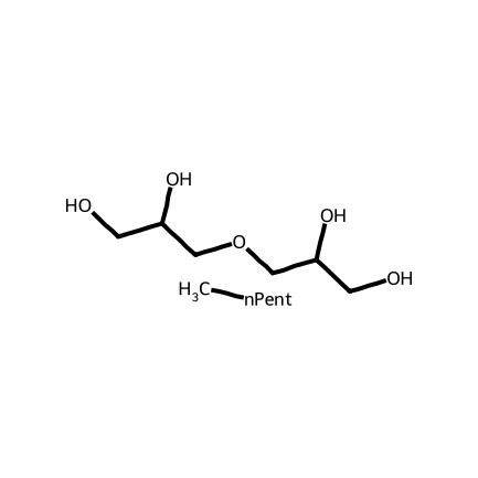 CCCCCC.OCC(O)COCC(O)CO